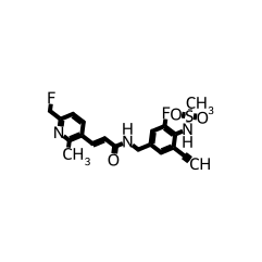 C#Cc1cc(CNC(=O)/C=C/c2ccc(CF)nc2C)cc(F)c1NS(C)(=O)=O